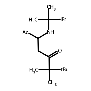 CC(=O)C(CC(=O)C(C)(C)C(C)(C)C)NC(C)(C)C(C)C